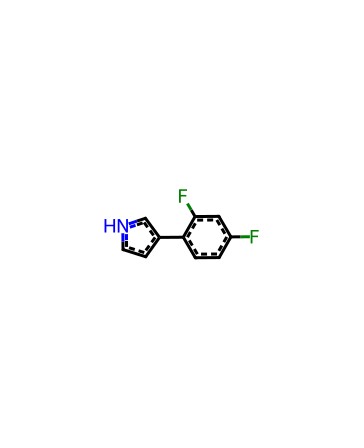 Fc1ccc(-c2cc[nH]c2)c(F)c1